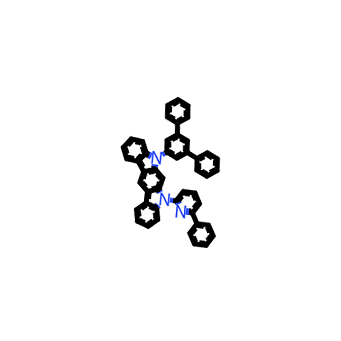 c1ccc(-c2cc(-c3ccccc3)cc(-n3c4ccccc4c4cc5c6ccccc6n(-c6cccc(-c7ccccc7)n6)c5cc43)c2)cc1